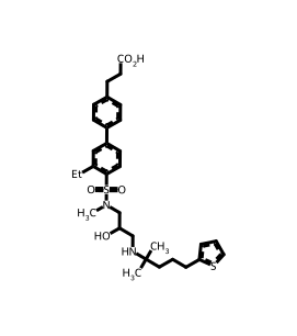 CCc1cc(-c2ccc(CCC(=O)O)cc2)ccc1S(=O)(=O)N(C)CC(O)CNC(C)(C)CCCc1cccs1